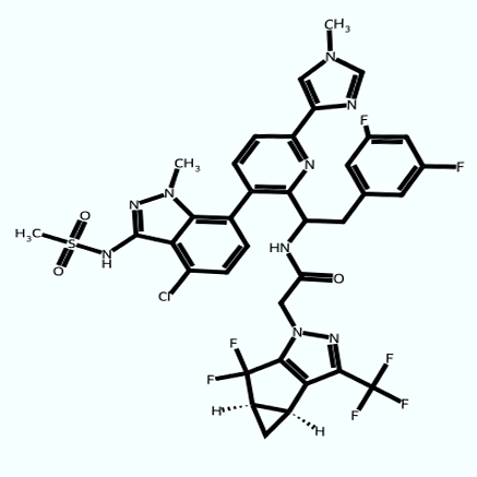 Cn1cnc(-c2ccc(-c3ccc(Cl)c4c(NS(C)(=O)=O)nn(C)c34)c(C(Cc3cc(F)cc(F)c3)NC(=O)Cn3nc(C(F)(F)F)c4c3C(F)(F)[C@@H]3C[C@H]43)n2)c1